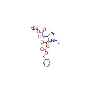 CC(C)C(NC(=O)OC(C)(C)C)[C@H](N)C(=O)OC(=O)OCc1ccccc1